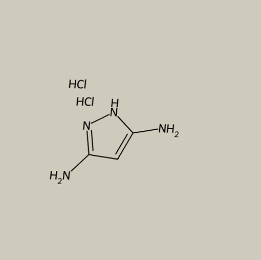 Cl.Cl.Nc1cc(N)[nH]n1